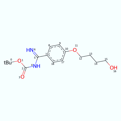 CC(C)(C)OC(=O)NC(=N)c1ccc(OCCCCO)cc1